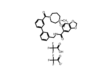 C[N+]1(C)CCCN(C(=O)c2cccc(-c3cccc(CNC(=O)c4ccc5c(c4)OCO5)c3)c2)CC1.O=C(O)C(F)(F)F.O=C([O-])C(F)(F)F